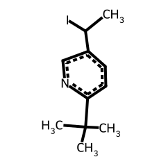 CC(I)c1ccc(C(C)(C)C)nc1